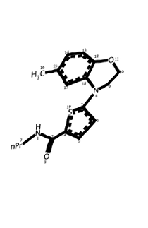 CCCNC(=O)c1ccc(N2CCOc3ccc(C)cc32)s1